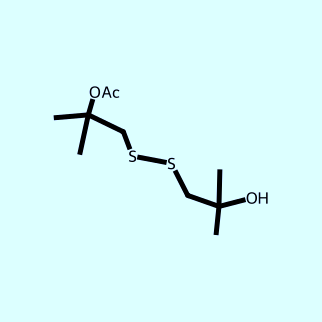 CC(=O)OC(C)(C)CSSCC(C)(C)O